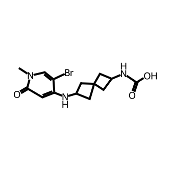 Cn1cc(Br)c(NC2CC3(CC(NC(=O)O)C3)C2)cc1=O